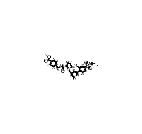 COC(=O)c1ccc([C@H](C)NC(=O)[C@H]2CCCN2Cc2cncc(-c3ccc(S(N)(=O)=O)cc3C)c2)cc1